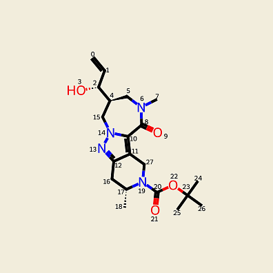 C=C[C@@H](O)[C@H]1CN(C)C(=O)c2c3c(nn2C1)C[C@@H](C)N(C(=O)OC(C)(C)C)C3